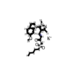 CCCCCS(=O)(=O)[N-]C(=O)/C=C/c1c(C)nn(C)c1-n1ccc2ccc(OC)cc21.[K+]